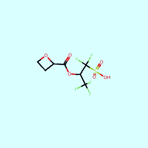 O=C(OC(C(F)(F)F)C(F)(F)S(=O)(=O)O)C1CCO1